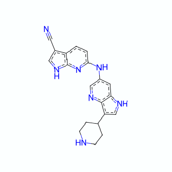 N#Cc1c[nH]c2nc(Nc3cnc4c(C5CCNCC5)c[nH]c4c3)ccc12